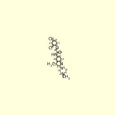 Cc1cc(N2CCCN(C)CC2)nc2ccc(NC(=O)COc3ccc(Cl)cc3Cl)cc12